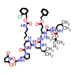 CC(C)C[C@@H](CNC(=O)N[C@@H](CCCCNC(=O)OCc1ccccc1Cl)CNC(=O)N1CCC[C@H]1CNC(=O)ON1C(=O)CCC1=O)NC(=O)NC[C@H](CCC(=O)OCc1ccccc1)NC(=O)NC[C@H](CC(C)C)NC(=O)OC(C)(C)C